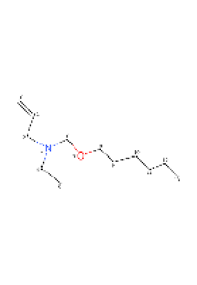 C=CCN(CC)COCCCCCC